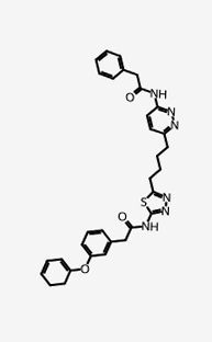 O=C(Cc1ccccc1)Nc1ccc(CCCCc2nnc(NC(=O)Cc3cccc(OC4=CC=CCC4)c3)s2)nn1